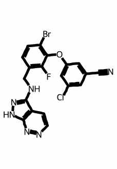 N#Cc1cc(Cl)cc(Oc2c(Br)ccc(CNc3n[nH]c4nnccc34)c2F)c1